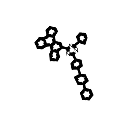 c1ccc(-c2ccc(-c3ccc(-c4nc(-c5ccccc5)nc(-c5cc6c7ccccc7c7ccccc7c6c6ccccc56)n4)cc3)cc2)cc1